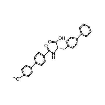 COc1ccc(-c2ccc(C(=O)N[C@@H](Cc3ccc(-c4ccccc4)cc3)C(=O)O)cc2)cc1